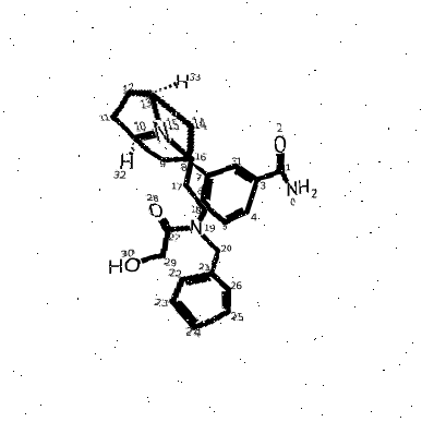 NC(=O)c1cccc([C@H]2C[C@H]3CC[C@@H](C2)N3CCCN(Cc2ccccc2)C(=O)CO)c1